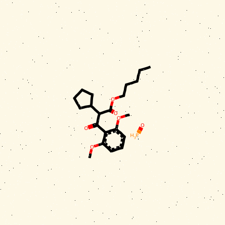 CCCCCOC(=O)C(C(=O)c1c(OC)cccc1OC)C1CCCC1.O=[PH3]